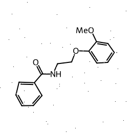 COc1c[c]ccc1OCCNC(=O)c1ccccc1